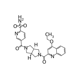 CCOc1cc(C(=O)N2C[C@@H]3CN(C(=O)c4ccc(S(N)(=O)=O)nc4)C[C@H]3C2)nc2ccccc12